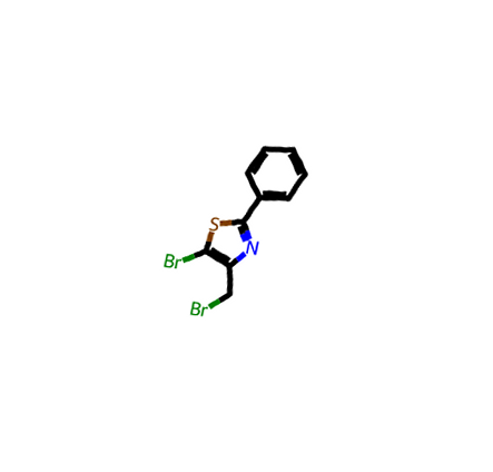 BrCc1nc(-c2ccccc2)sc1Br